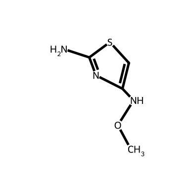 CONc1csc(N)n1